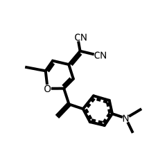 C=C(C1=CC(=C(C#N)C#N)C=C(C)O1)c1ccc(N(C)C)cc1